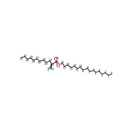 CCCCCCCCCCCCCCCCCOC(=O)C(=CF)CCCCCCCCCC